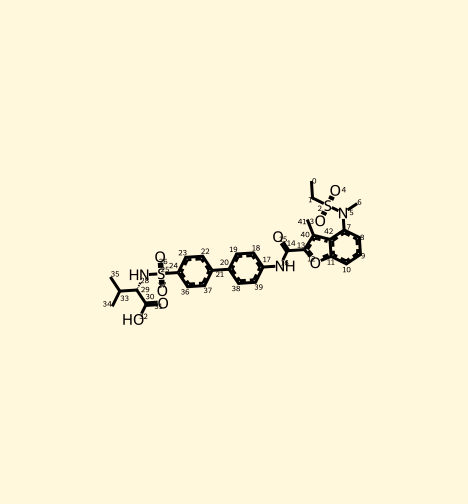 CCS(=O)(=O)N(C)c1cccc2oc(C(=O)Nc3ccc(-c4ccc(S(=O)(=O)N[C@H](C(=O)O)C(C)C)cc4)cc3)c(C)c12